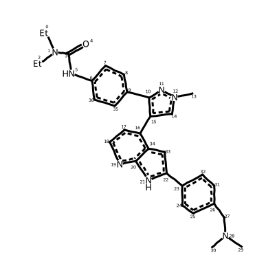 CCN(CC)C(=O)Nc1ccc(-c2nn(C)cc2-c2ccnc3[nH]c(-c4ccc(CN(C)C)cc4)cc23)cc1